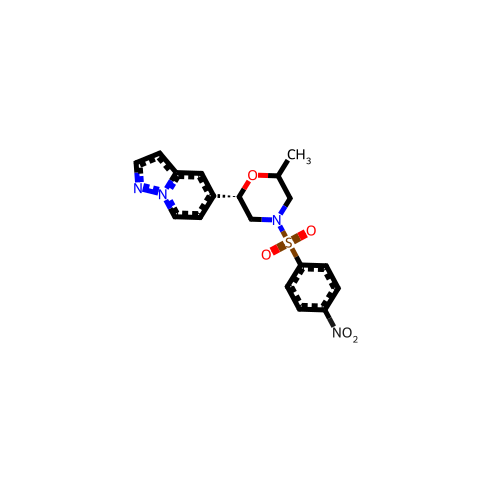 CC1CN(S(=O)(=O)c2ccc([N+](=O)[O-])cc2)C[C@H](c2ccn3nccc3c2)O1